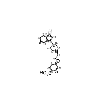 O=C(O)c1ccc(OCCN2CCC(c3c[nH]c4ccccc34)CC2)cc1